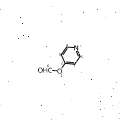 O=COc1ccncc1